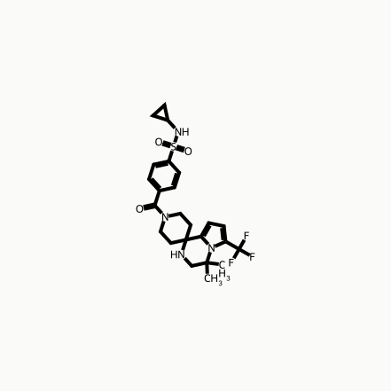 CC1(C)CNC2(CCN(C(=O)c3ccc(S(=O)(=O)NC4CC4)cc3)CC2)c2ccc(C(F)(F)F)n21